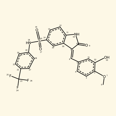 COc1ccc(C=C2C(=O)Nc3ccc(S(=O)(=O)Nc4ccc(C(F)(F)F)cc4)cc32)cc1O